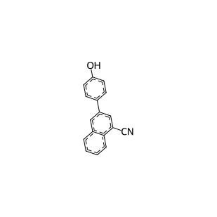 N#Cc1cc(-c2ccc(O)cc2)cc2ccccc12